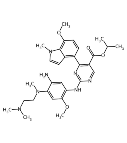 COc1cc(N(C)CCN(C)C)c(N)cc1Nc1ncc(C(=O)OC(C)C)c(-c2ccc(OC)c3c2ccn3C)n1